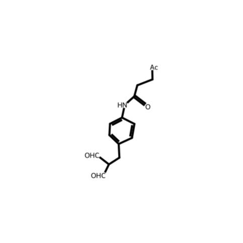 CC(=O)CCC(=O)Nc1ccc(CC(C=O)C=O)cc1